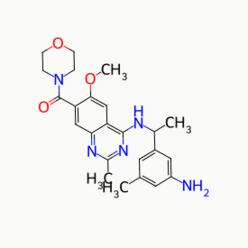 COc1cc2c(NC(C)c3cc(C)cc(N)c3)nc(C)nc2cc1C(=O)N1CCOCC1